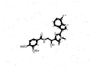 COc1ccc(C(=O)NCC(O)c2nc(-c3csc4c(F)cccc34)n(C)c2C)cc1OC